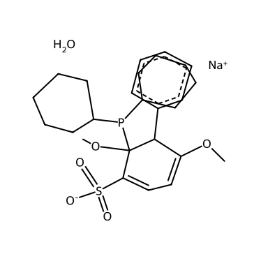 COC1=CC=C(S(=O)(=O)[O-])C(OC)(P(C2CCCCC2)C2CCCCC2)C1c1ccccc1.O.[Na+]